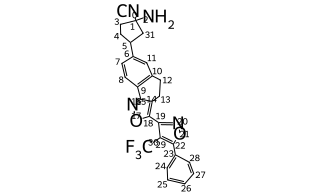 N#CC1(N)CCC(c2ccc3c(c2)CCc2c-3noc2-c2noc(-c3ccccc3)c2C(F)(F)F)C1